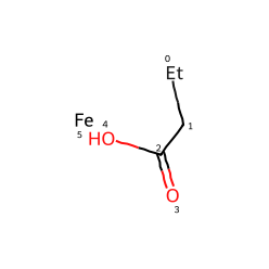 CCCC(=O)O.[Fe]